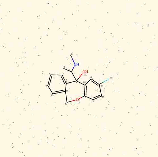 CNC(C)C1(O)c2ccccc2COc2ccc(F)cc21